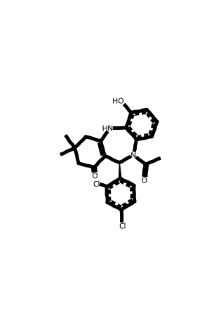 CC(=O)N1c2cccc(O)c2NC2=C(C(=O)CC(C)(C)C2)[C@@H]1c1ccc(Cl)cc1Cl